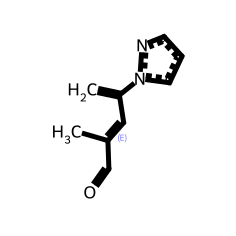 C=C(/C=C(\C)C=O)n1cccn1